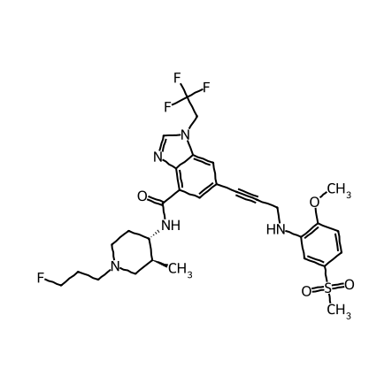 COc1ccc(S(C)(=O)=O)cc1NCC#Cc1cc(C(=O)N[C@H]2CCN(CCCF)C[C@@H]2C)c2ncn(CC(F)(F)F)c2c1